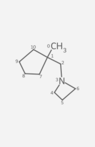 CC1(CN2CCC2)CCCC1